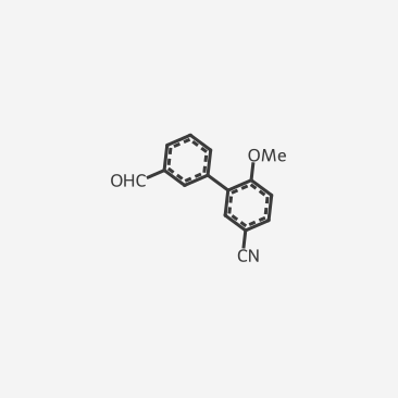 COc1ccc(C#N)cc1-c1cccc(C=O)c1